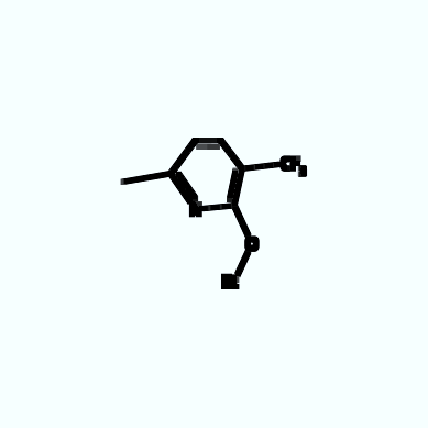 CCOc1nc(C)ccc1C(F)(F)F